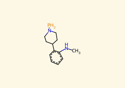 CNc1ccccc1C1CCN(P)CC1